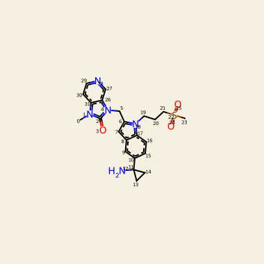 Cn1c(=O)n(Cc2cc3cc(C4(N)CC4)ccc3n2CCCS(C)(=O)=O)c2cnccc21